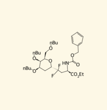 CCCCOC[C@H]1O[C@H](C(F)(F)C[C@@H](NC(=O)OCc2ccccc2)C(=O)OCC)C[C@@H](OCCCC)[C@H]1OCCCC